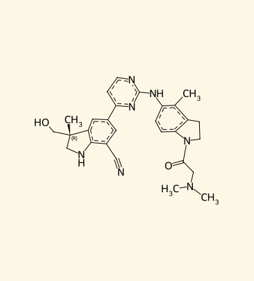 Cc1c(Nc2nccc(-c3cc(C#N)c4c(c3)[C@@](C)(CO)CN4)n2)ccc2c1CCN2C(=O)CN(C)C